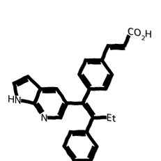 CCC(=C(c1ccc(C=CC(=O)O)cc1)c1cnc2[nH]ccc2c1)c1ccccc1